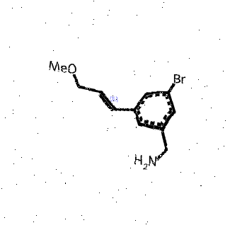 COC/C=C/c1cc(Br)cc(CN)c1